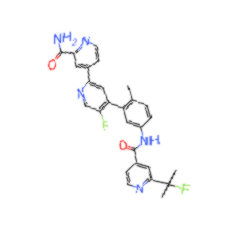 Cc1ccc(NC(=O)c2ccnc(C(C)(C)F)c2)cc1-c1cc(-c2ccnc(C(N)=O)c2)ncc1F